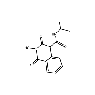 CC(C)NC(=O)C1C(=O)N(O)C(=O)c2ccccc21